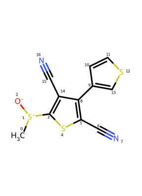 C[S+]([O-])c1sc(C#N)c(-c2ccsc2)c1C#N